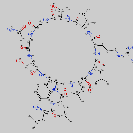 CC[C@H](C)[C@@H]1NC(=O)[C@@H](CCCNC(=N)N)NC(=O)[C@H](CC(C)C)NC(=O)[C@H]([C@H](O)C(C)C)NC(=O)[C@@H](NC(=O)[C@H](CC(C)C)NC(=O)[C@H](N)CC(C)C)[C@@H](c2ccccc2)NC(=O)[C@H](CO)NC(=O)[C@H](CC(N)=O)NC(=O)CNC(=O)[C@H]([C@@H](C)O)NC1=O